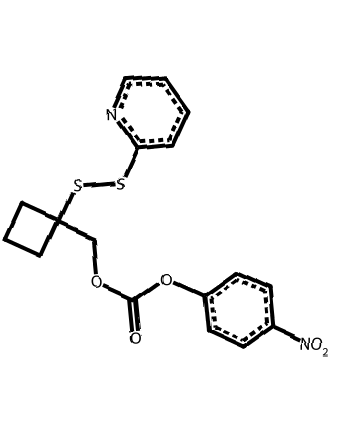 O=C(OCC1(SSc2ccccn2)CCC1)Oc1ccc([N+](=O)[O-])cc1